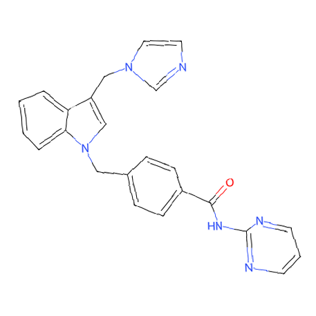 O=C(Nc1ncccn1)c1ccc(Cn2cc(Cn3ccnc3)c3ccccc32)cc1